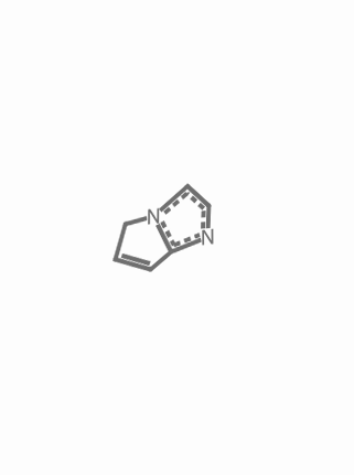 C1=Cc2nccn2C1